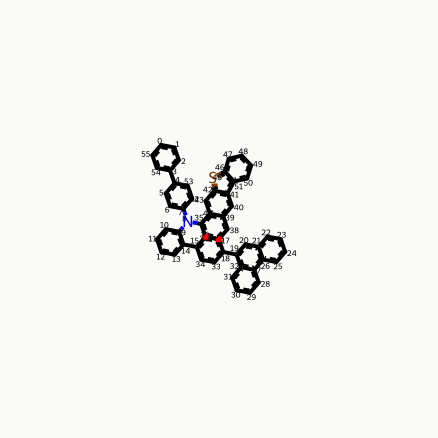 c1ccc(-c2ccc(N(c3ccccc3-c3ccc(-c4cc5ccccc5c5ccccc45)cc3)c3cccc4cc5c(cc34)sc3ccccc35)cc2)cc1